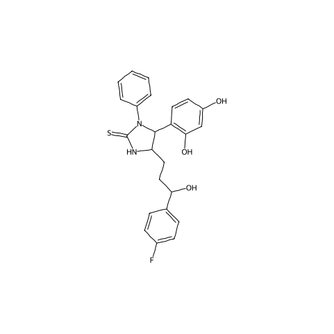 Oc1ccc(C2C(CCC(O)c3ccc(F)cc3)NC(=S)N2c2ccccc2)c(O)c1